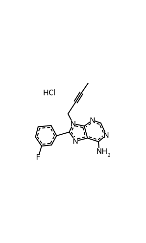 CC#CCn1c(-c2cccc(F)c2)nc2c(N)ncnc21.Cl